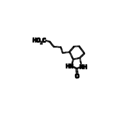 O=C(O)CCCCC1CCCC2NC(=O)NC12